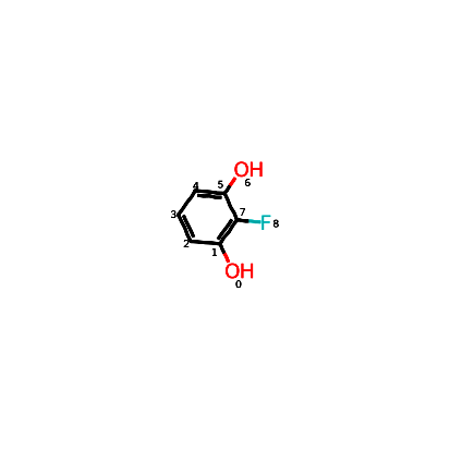 Oc1cccc(O)c1F